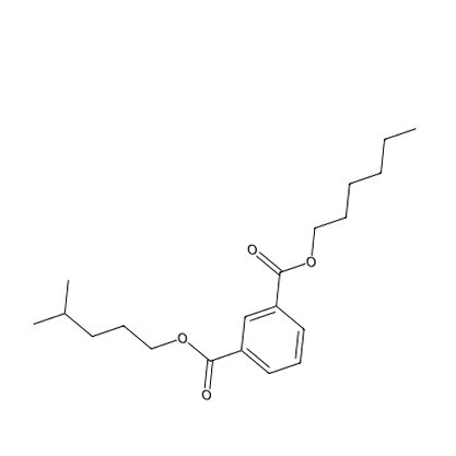 CCCCCCOC(=O)c1cccc(C(=O)OCCCC(C)C)c1